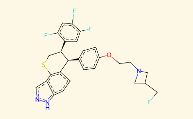 FCC1CN(CCOc2ccc([C@H]3c4ccc5[nH]ncc5c4SC[C@H]3c3cc(F)c(F)cc3F)cc2)C1